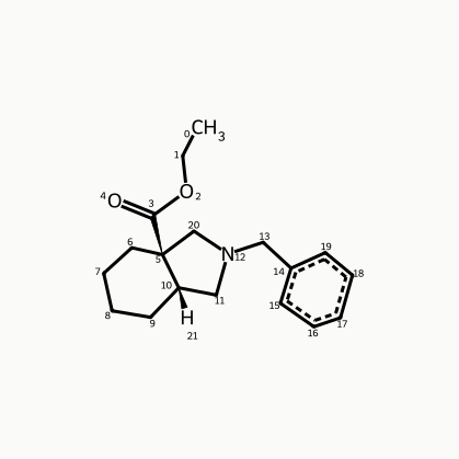 CCOC(=O)[C@]12CCCC[C@H]1CN(Cc1ccccc1)C2